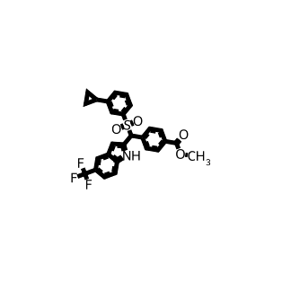 COC(=O)c1ccc(C(c2cc3cc(C(F)(F)F)ccc3[nH]2)S(=O)(=O)c2cccc(C3CC3)c2)cc1